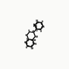 c1ccc(C2CCc3ccccc3C2)nc1